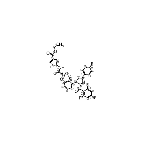 CCOC(=O)c1csc(NC(=O)COc2cccc(C3SC(c4ccc(F)cc4)=NN3C(=O)c3c(F)cc(F)cc3F)c2OC)n1